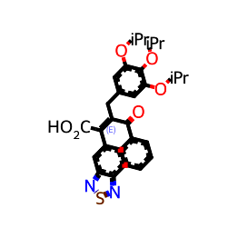 CC(C)Oc1cc(C/C(C(=O)c2ccccc2)=C(\C(=O)O)c2ccc3nsnc3c2)cc(OC(C)C)c1OC(C)C